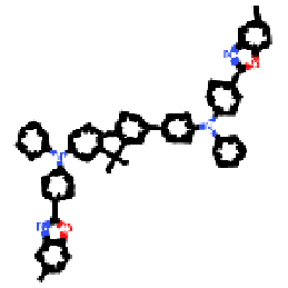 Cc1ccc2oc(-c3ccc(N(c4ccccc4)c4ccc(-c5ccc6c(c5)C(C)(C)c5cc(N(c7ccccc7)c7ccc(-c8nc9cc(C)ccc9o8)cc7)ccc5-6)cc4)cc3)nc2c1